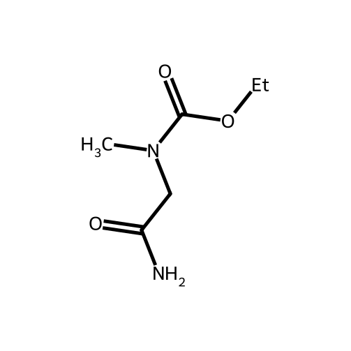 CCOC(=O)N(C)CC(N)=O